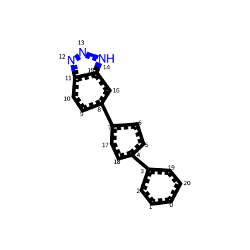 c1ccc(-c2ccc(-c3ccc4nn[nH]c4c3)cc2)cc1